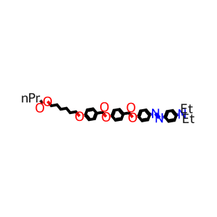 CCCC(=O)OCCCCCCOc1ccc(C(=O)Oc2ccc(C(=O)Oc3ccc(/N=N/c4ccc(N(CC)CC)cc4)cc3)cc2)cc1